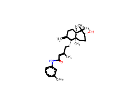 C=C1CC[C@@H]2C(C)(C)[C@H](O)CC[C@@]2(C)[C@@H]1CC/C(C)=C/C(=O)Nc1cccc(OC)c1